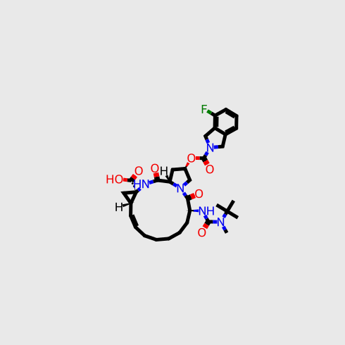 CN(C(=O)N[C@H]1CCCCCC=C[C@@H]2C[C@@]2(C(=O)O)NC(=O)[C@@H]2C[C@@H](OC(=O)N3Cc4cccc(F)c4C3)CN2C1=O)C(C)(C)C